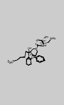 CNC[C@@H](NC(=O)N1CCC[C@@H]([C@@](O)(CCCCOC)c2ccccc2Oc2ccccc2)C1)[C@H](O)C(C)C